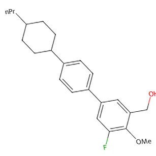 CCCC1CCC(c2ccc(-c3cc(F)c(OC)c(CO)c3)cc2)CC1